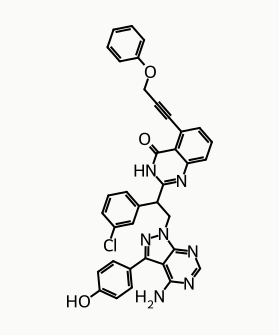 Nc1ncnc2c1c(-c1ccc(O)cc1)nn2CC(c1cccc(Cl)c1)c1nc2cccc(C#CCOc3ccccc3)c2c(=O)[nH]1